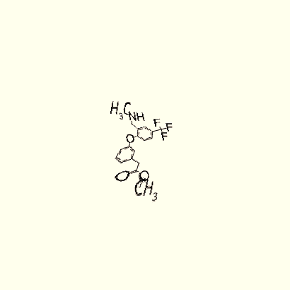 CNCc1cc(C(F)(F)F)ccc1Oc1cccc(CC(=O)OC)c1